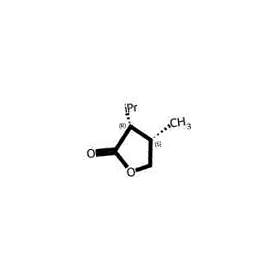 CC(C)[C@H]1C(=O)OC[C@H]1C